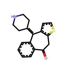 O=C1Cc2sccc2C(=C2CCNCC2)c2ccccc21